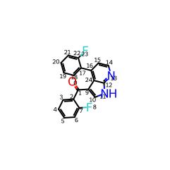 O=C(c1ccccc1F)c1c[nH]c2nccc(-c3ccccc3F)c12